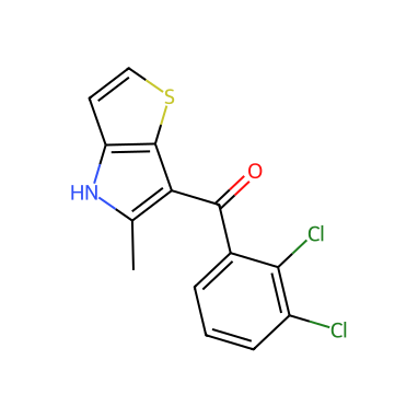 Cc1[nH]c2ccsc2c1C(=O)c1cccc(Cl)c1Cl